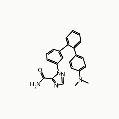 CN(C)c1ccc(-c2ccccc2-c2cccc(-n3ncnc3C(N)=O)c2)cc1